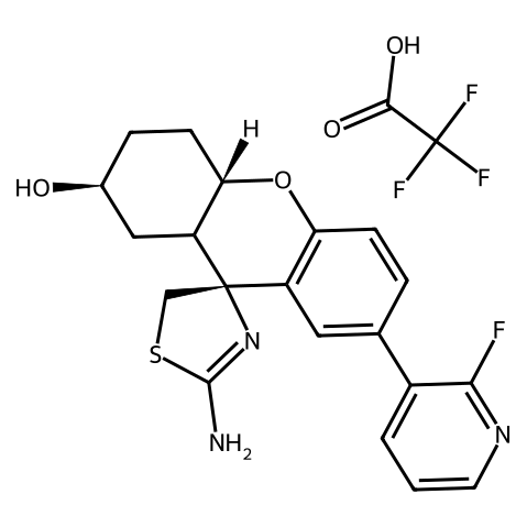 NC1=N[C@@]2(CS1)c1cc(-c3cccnc3F)ccc1O[C@H]1CC[C@H](O)CC12.O=C(O)C(F)(F)F